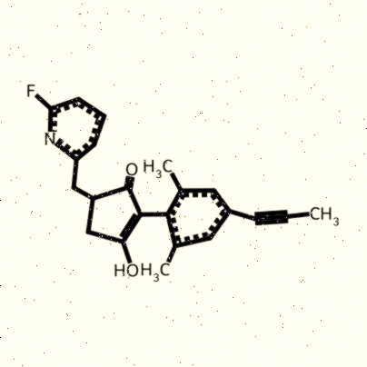 CC#Cc1cc(C)c(C2=C(O)CC(Cc3cccc(F)n3)C2=O)c(C)c1